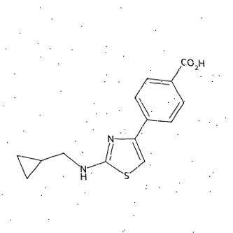 O=C(O)c1ccc(-c2csc(NCC3CC3)n2)cc1